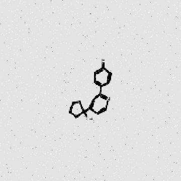 CC1(c2ccnc(-c3ccc(F)cc3)c2)CCCC1